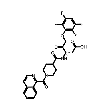 O=C(O)C[C@H](NC(=O)C1CCN(C(=O)c2nccc3ccccc23)CC1)C(=O)COc1c(F)c(F)cc(F)c1F